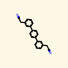 N#CCc1cccc(-c2ccc(-c3cccc(CC#N)c3)cc2)c1